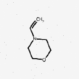 C=CN1CCOCC1